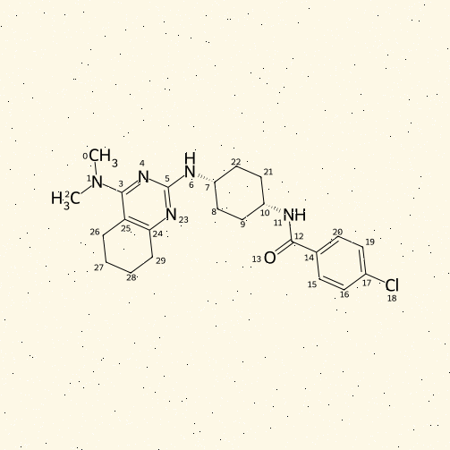 CN(C)c1nc(N[C@H]2CC[C@@H](NC(=O)c3ccc(Cl)cc3)CC2)nc2c1CCCC2